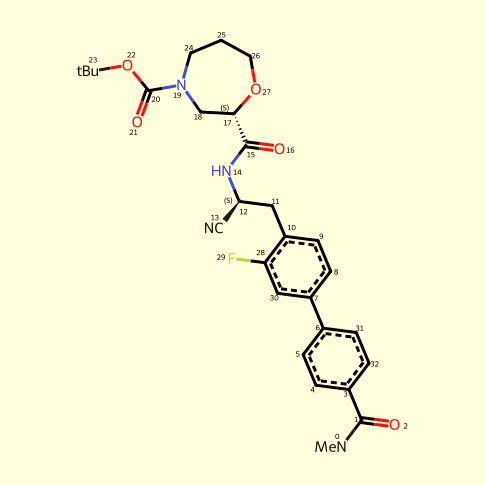 CNC(=O)c1ccc(-c2ccc(C[C@@H](C#N)NC(=O)[C@@H]3CN(C(=O)OC(C)(C)C)CCCO3)c(F)c2)cc1